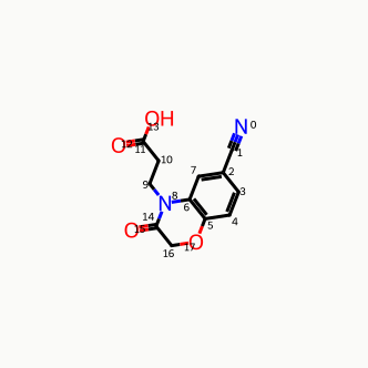 N#Cc1ccc2c(c1)N(CCC(=O)O)C(=O)CO2